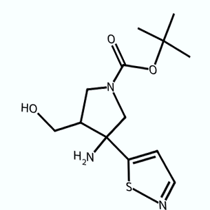 CC(C)(C)OC(=O)N1CC(CO)C(N)(c2ccns2)C1